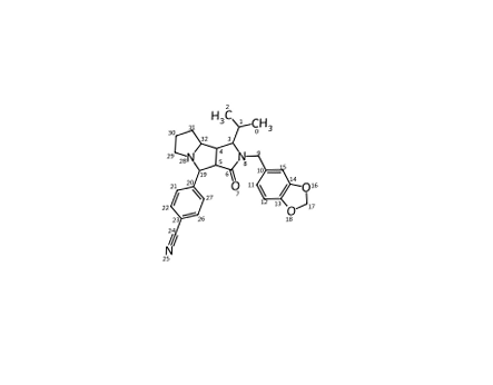 CC(C)C1C2C(C(=O)N1Cc1ccc3c(c1)OCO3)C(c1ccc(C#N)cc1)N1CCCC21